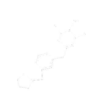 Nc1nc(Cc2cccc(CN3CCCC3)c2)nc(N)c1N